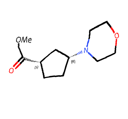 COC(=O)[C@H]1CC[C@@H](N2CCOCC2)C1